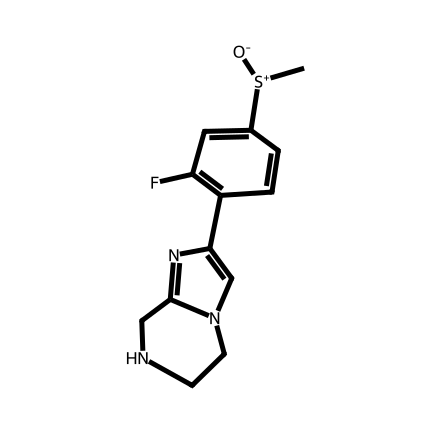 C[S+]([O-])c1ccc(-c2cn3c(n2)CNCC3)c(F)c1